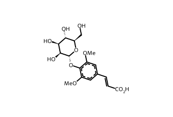 COc1cc(C=CC(=O)O)cc(OC)c1O[C@H]1O[C@H](CO)[C@@H](O)[C@H](O)[C@@H]1O